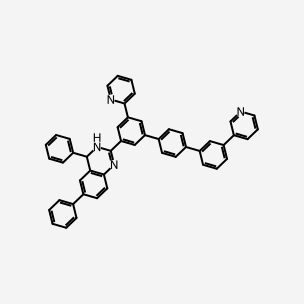 c1ccc(-c2ccc3c(c2)C(c2ccccc2)NC(c2cc(-c4ccc(-c5cccc(-c6cccnc6)c5)cc4)cc(-c4ccccn4)c2)=N3)cc1